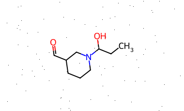 CCC(O)N1CCCC(C=O)C1